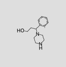 OCCC(c1[c]cccc1)N1CCNCC1